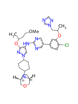 COCCC(C)Oc1nn(C2CCC(N3[C@@H]4CC[C@H]3COC4)CC2)cc1Nc1ncc(-c2ccc(Cl)c(OC(C)Cn3cncn3)c2)cn1